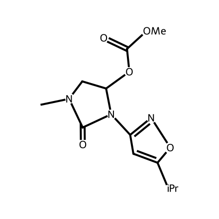 COC(=O)OC1CN(C)C(=O)N1c1cc(C(C)C)on1